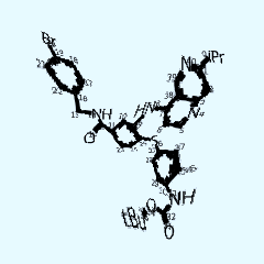 CC(C)c1cc2nccc(Nc3cc(C(=O)NCc4ccc(Br)cc4)ccc3Sc3ccc(NC(=O)OC(C)(C)C)cc3)c2cn1